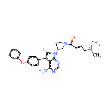 CN(C)C/C=C/C(=O)N1CC[C@@H](n2c(F)c(-c3ccc(Oc4ccccc4)cc3)c3c(N)ncnc32)C1